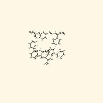 CC(=CC=Cc1ccccc1)c1ccccc1.CC1=Cc2c(-c3ccccc3)cccc2[CH]1[Zr][CH]1C(C)=Cc2c(-c3ccccc3)cccc21.C[SiH2]C